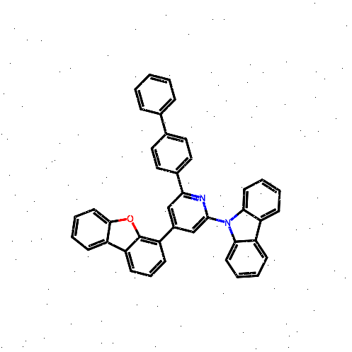 c1ccc(-c2ccc(-c3cc(-c4cccc5c4oc4ccccc45)cc(-n4c5ccccc5c5ccccc54)n3)cc2)cc1